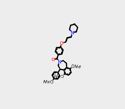 COc1ccc(C2CN(C(=O)c3ccc(OCCCN4CCCCC4)cc3)CCc3c(OC)ccc(OC)c32)cc1